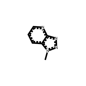 Cn1nnc2ncccc21